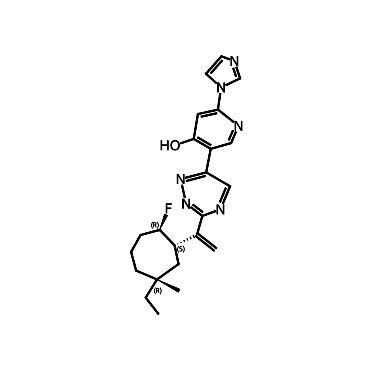 C=C(c1ncc(-c2cnc(-n3ccnc3)cc2O)nn1)[C@@H]1C[C@](C)(CC)CCC[C@H]1F